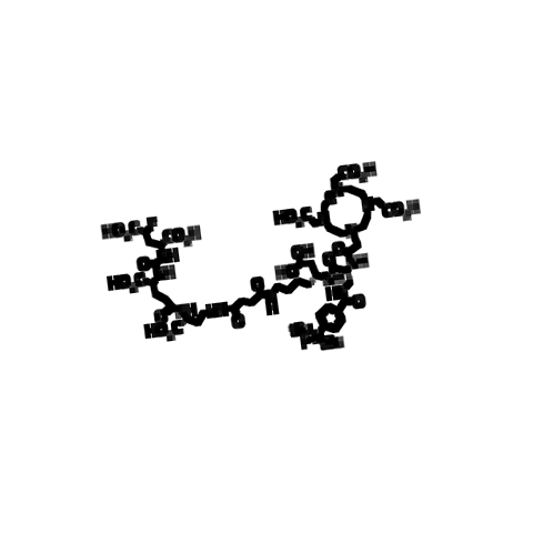 CC(C)(C)[Si](F)(c1ccc(C(=O)NC[C@@H](NC(=O)CN2CCN(CC(=O)O)CCN(CC(=O)O)CCN(CC(=O)O)CC2)C(=O)N[C@H](CCCCNC(=O)CCC(=O)NCCC[C@@H](NC(=O)CC[C@H](NC(=O)N[C@@H](C[C@H](F)C(=O)O)C(=O)O)C(=O)O)C(=O)O)CC(O)O)cc1)C(C)(C)C